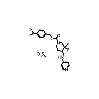 CS(=O)(=O)O.O=C(OCc1ccc(C(F)F)cc1)N1CCC(CNc2ccncc2)C(F)(F)C1